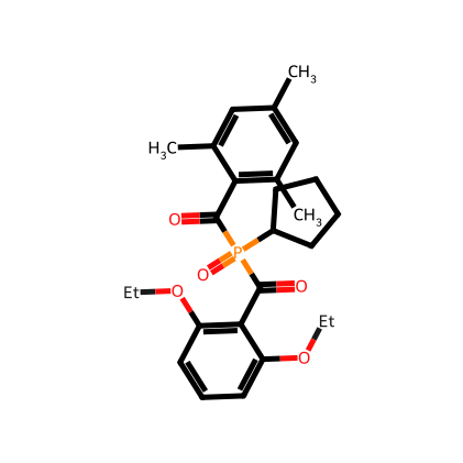 CCOc1cccc(OCC)c1C(=O)P(=O)(C(=O)c1c(C)cc(C)cc1C)C1CCCC1